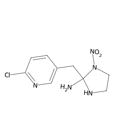 NC1(Cc2ccc(Cl)nc2)NCCN1[N+](=O)[O-]